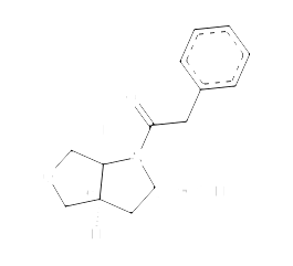 O=C(O)[C@@H]1C[C@H]2COC[C@H]2N1C(=O)Cc1ccccc1